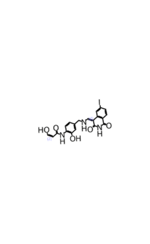 O=C(/C=C\O)Nc1ccc(CN/C=C2\C(=O)NC(=O)c3ccc(I)cc32)cc1O